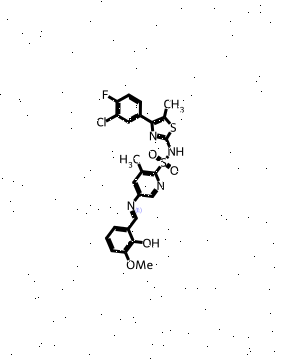 COc1cccc(/C=N/c2cnc(S(=O)(=O)Nc3nc(-c4ccc(F)c(Cl)c4)c(C)s3)c(C)c2)c1O